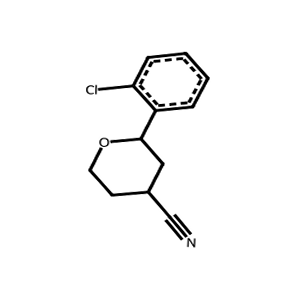 N#CC1CCOC(c2ccccc2Cl)C1